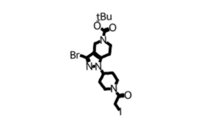 CC(C)(C)OC(=O)N1CCc2c(c(Br)nn2C2CCN(C(=O)CI)CC2)C1